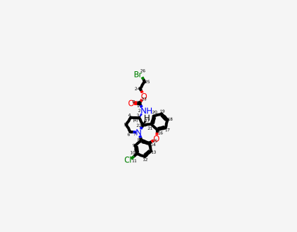 O=C(N[C@@H]1CCCN2c3cc(Cl)ccc3Oc3ccccc3[C@@H]12)OCCBr